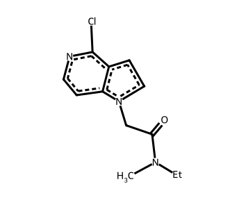 CCN(C)C(=O)Cn1ccc2c(Cl)nccc21